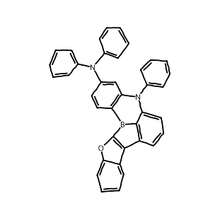 c1ccc(N(c2ccccc2)c2ccc3c(c2)N(c2ccccc2)c2cccc4c2B3c2oc3ccccc3c2-4)cc1